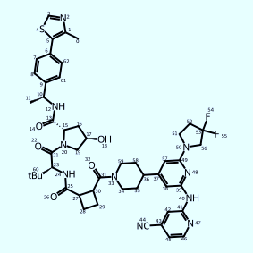 Cc1ncsc1-c1ccc([C@H](C)NC(=O)[C@@H]2C[C@@H](O)CN2C(=O)[C@@H](NC(=O)C2CCC2C(=O)N2CCC(c3cc(Nc4cc(C#N)ccn4)nc(N4CCC(F)(F)C4)c3)CC2)C(C)(C)C)cc1